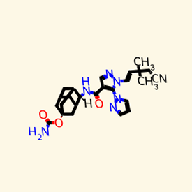 CC(C)(/C=C/n1ncc(C(=O)N[C@H]2C3CC4CC2C[C@](OC(N)=O)(C4)C3)c1-n1cccn1)CC#N